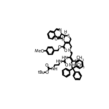 COc1ccc(COC(=O)C2=C(C/N=C/C(NC(=O)NCCNC(=O)OC(C)(C)C)=C(/NC(c3ccccc3)(c3ccccc3)c3ccccc3)N(C)C)CS[C@@H]3[C@H](/N=C\c4ccccc4O)C(=O)N23)cc1